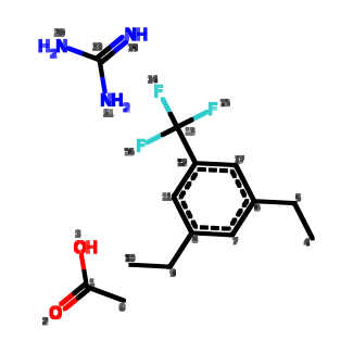 CC(=O)O.CCc1cc(CC)cc(C(F)(F)F)c1.N=C(N)N